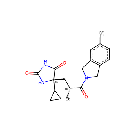 CC[C@H](C[C@@]1(C2CC2)NC(=O)NC1=O)C(=O)N1Cc2ccc(C(F)(F)F)cc2C1